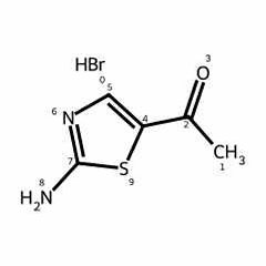 Br.CC(=O)c1cnc(N)s1